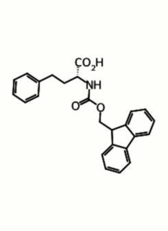 O=C(N[C@H](CCc1ccccc1)C(=O)O)OCC1c2ccccc2-c2ccccc21